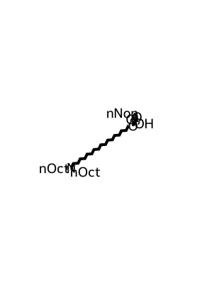 CCCCCCCCCOP(=O)(O)OCCCCCCCCCCCCCCCCCN(CCCCCCCC)CCCCCCCC